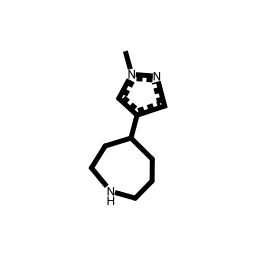 Cn1cc(C2CCCNCC2)cn1